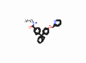 CON(C)C(=O)c1ccc(C2(c3ccc(OCc4ccccn4)cc3)CC3CCC2C3)cc1